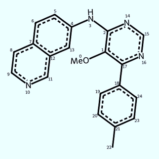 COc1c(Nc2ccc3ccncc3c2)ncnc1-c1ccc(C)cc1